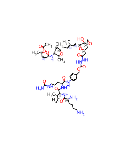 CC(=O)O[C@@H](C)/C=C\C(=O)N[C@@H]1C[C@H](C)[C@H](C/C=C(C)/C=C/[C@H]2O[C@H](CC(=O)NNC(=O)OCc3ccc(NC(=O)[C@H](CCCNC(N)=O)NC(=O)[C@@H](NC(=O)[C@@H](N)CCCCN)C(C)C)cc3)C[C@@]3(CO3)[C@@H]2O)O[C@@H]1C